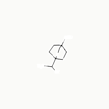 COC12CCC(C(C)O)(CC1)CC2